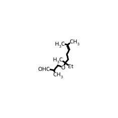 CCC(C)(CCC=C(C)C)OCC(C)C=O